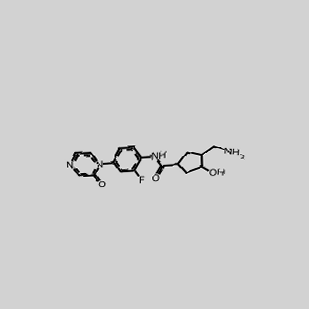 NCC1CC(C(=O)Nc2ccc(-n3ccncc3=O)cc2F)CC1O